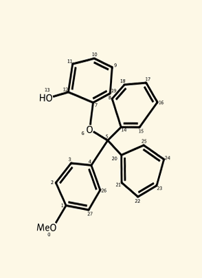 COc1ccc(C(Oc2ccccc2O)(c2ccccc2)c2ccccc2)cc1